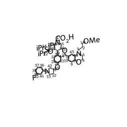 COCCCN1CCOc2ccc(COC3CN(C(=O)O)CC(O[Si](C(C)C)(C(C)C)C(C)C)C3c3ccc(OC4CCN(c5cccc(F)c5)C4)cc3)cc21